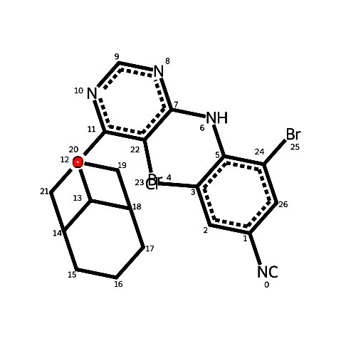 [C-]#[N+]c1cc(Cl)c(Nc2ncnc(OC3C4CCCC3COC4)c2Br)c(Br)c1